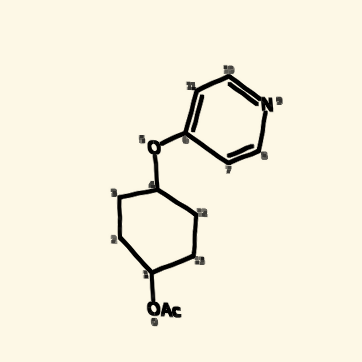 CC(=O)OC1CCC(Oc2ccncc2)CC1